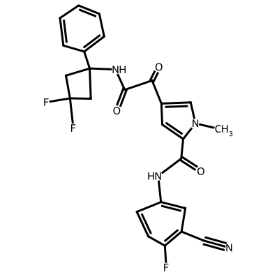 Cn1cc(C(=O)C(=O)NC2(c3ccccc3)CC(F)(F)C2)cc1C(=O)Nc1ccc(F)c(C#N)c1